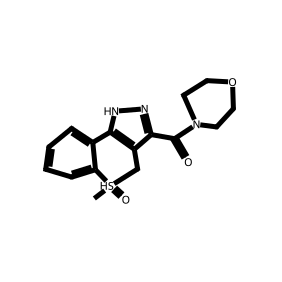 C[SH]1(=O)Cc2c(C(=O)N3CCOCC3)n[nH]c2-c2ccccc21